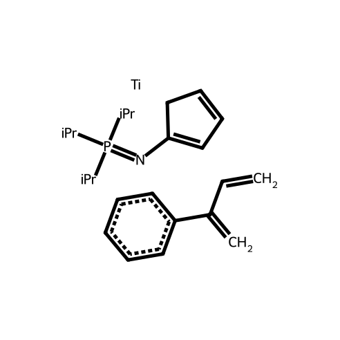 C=CC(=C)c1ccccc1.CC(C)P(=NC1=CC=CC1)(C(C)C)C(C)C.[Ti]